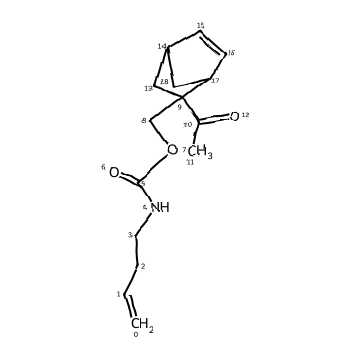 C=CCCNC(=O)OCC1(C(C)=O)CC2C=CC1C2